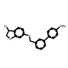 CCC1COc2cc(OCc3cccc(-c4ccc(OC)cc4)c3)ccc21